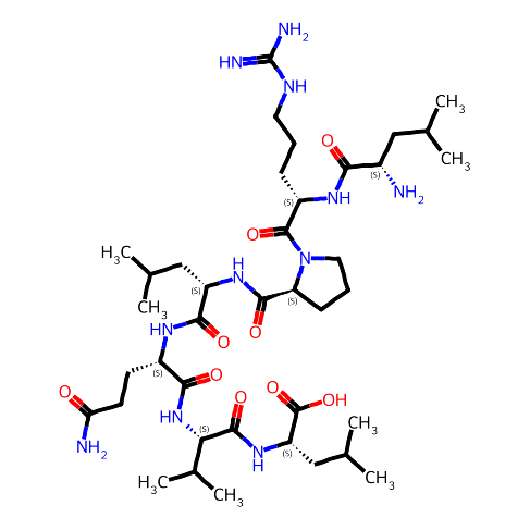 CC(C)C[C@H](NC(=O)[C@@H](NC(=O)[C@H](CCC(N)=O)NC(=O)[C@H](CC(C)C)NC(=O)[C@@H]1CCCN1C(=O)[C@H](CCCNC(=N)N)NC(=O)[C@@H](N)CC(C)C)C(C)C)C(=O)O